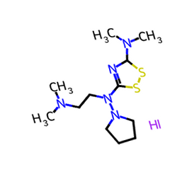 CN(C)CCN(C1=NC(N(C)C)SS1)N1CCCC1.I